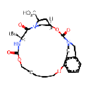 CC(C)(C)[C@@H]1NC(=O)OCCCCCOc2cccc3c2CN(C3)C(=O)O[C@@H]2CC(C(=O)O)N(C2)C1=O